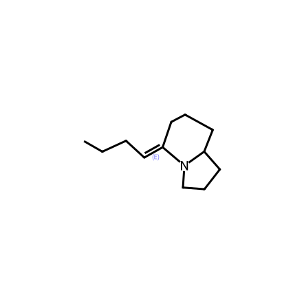 CCC/C=C1\CCCC2CCCN12